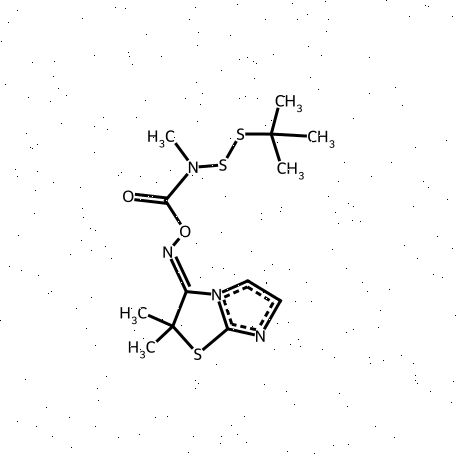 CN(SSC(C)(C)C)C(=O)ON=C1n2ccnc2SC1(C)C